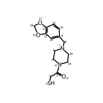 O=C(CS)N1CCN(Cc2ccc3c(c2)OCO3)CC1